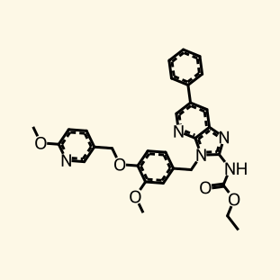 CCOC(=O)Nc1nc2cc(-c3ccccc3)cnc2n1Cc1ccc(OCc2ccc(OC)nc2)c(OC)c1